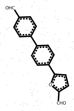 O=Cc1ccc(-c2ccc(-c3ccc(C=O)o3)cc2)cc1